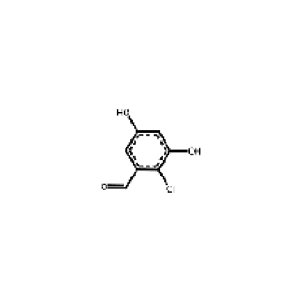 O=Cc1cc(O)cc(O)c1Cl